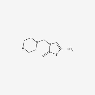 Nc1cn(CN2CCOCC2)c(=S)s1